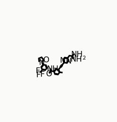 Cc1ccc(C(=O)Nc2cc(N3CCCC3=O)cc(C(F)(F)F)c2)cc1C#Cc1cnc(CC(=N)N)cn1